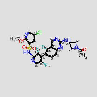 COc1ncc(Cl)cc1S(=O)(=O)Nc1ncc(F)c(-c2ccc3nc(NC4CN(C(C)=O)C4)ncc3c2F)c1F